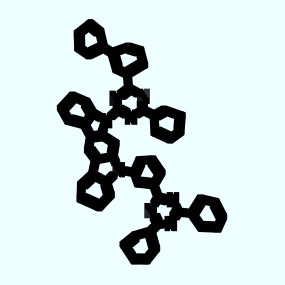 c1ccc(-c2cccc(-c3nc(-c4ccccc4)nc(-n4c5ccccc5c5cc6c7ccccc7n(-c7cccc(-c8nc(-c9ccccc9)nc(-c9ccccc9)n8)c7)c6cc54)n3)c2)cc1